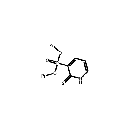 CC(C)OP(=O)(OC(C)C)c1ccc[nH]c1=S